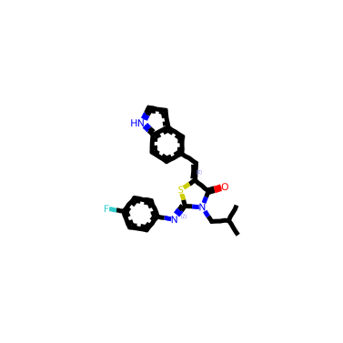 CC(C)CN1C(=O)/C(=C/c2ccc3[nH]ccc3c2)S/C1=N\c1ccc(F)cc1